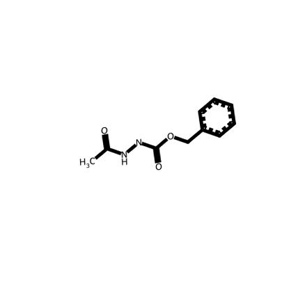 CC(=O)N[N]C(=O)OCc1ccccc1